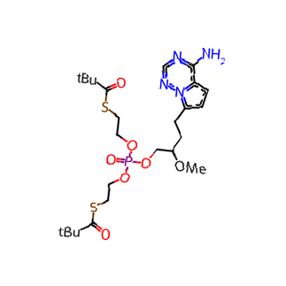 COC(CCc1ccc2c(N)ncnn12)COP(=O)(OCCSC(=O)C(C)(C)C)OCCSC(=O)C(C)(C)C